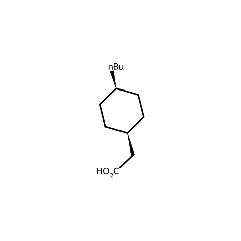 CCCC[C@H]1CC[C@@H](CC(=O)O)CC1